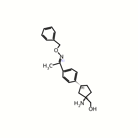 C/C(=N\OCc1ccccc1)c1ccc([C@@H]2CC[C@](N)(CO)C2)cc1